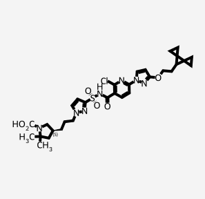 CC1(C)C[C@H](CCCn2ccc(S(=O)(=O)NC(=O)c3ccc(-n4ccc(OCCC5C6(CC6)C56CC6)n4)nc3Cl)n2)CN1C(=O)O